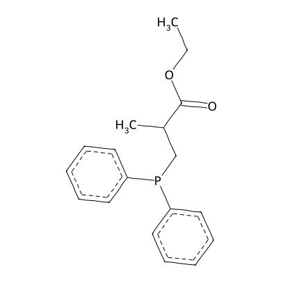 CCOC(=O)C(C)CP(c1ccccc1)c1ccccc1